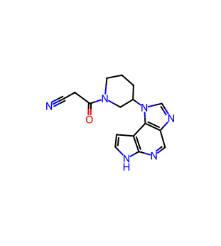 N#CCC(=O)N1CCCC(n2cnc3cnc4[nH]ccc4c32)C1